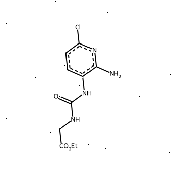 CCOC(=O)CNC(=O)Nc1ccc(Cl)nc1N